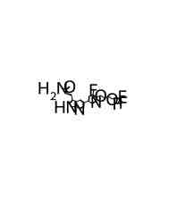 NC(=O)C=Cc1c[nH]c2ncc(-c3cnc(OCCOCC(F)(F)F)c(F)c3)cc12